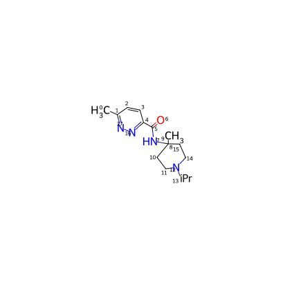 Cc1ccc(C(=O)NC2(C)CCN(C(C)C)CC2)nn1